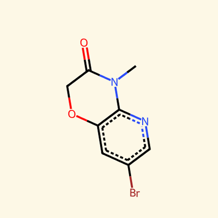 CN1C(=O)COc2cc(Br)cnc21